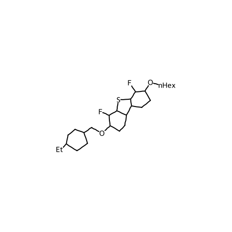 CCCCCCOC1CCC2C3CCC(OCC4CCC(CC)CC4)C(F)C3SC2C1F